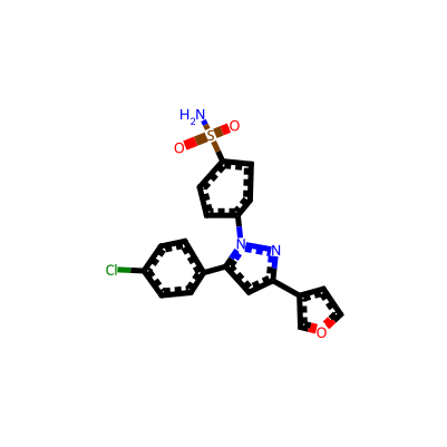 NS(=O)(=O)c1ccc(-n2nc(-c3ccoc3)cc2-c2ccc(Cl)cc2)cc1